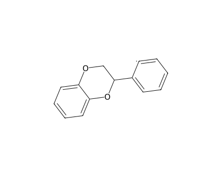 [c]1ccccc1C1COc2ccccc2O1